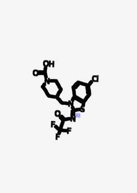 O=C(O)N1CCC(Cn2/c(=N\C(=O)C(F)(F)F)sc3cc(Cl)ccc32)CC1